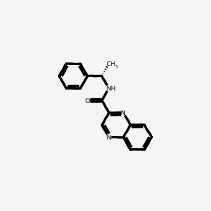 C[C@H](NC(=O)c1cnc2ccccc2n1)c1ccccc1